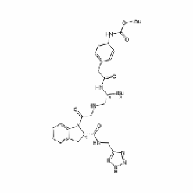 CC[C@H](C)[C@H](CNCC(=O)N1c2ccccc2C[C@H]1C(=O)NCc1nn[nH]n1)NC(=O)Cc1ccc(NC(=O)OC(C)(C)C)cc1